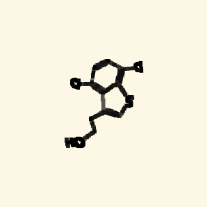 OCCc1csc2c(Cl)ccc(Cl)c12